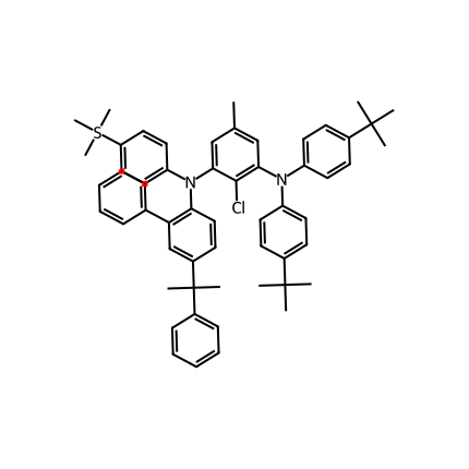 Cc1cc(N(c2ccc(C(C)(C)C)cc2)c2ccc(C(C)(C)C)cc2)c(Cl)c(N(c2ccc(S(C)(C)C)cc2)c2ccc(C(C)(C)c3ccccc3)cc2-c2ccccc2)c1